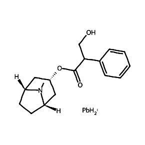 CN1[C@@H]2CC[C@H]1C[C@@H](OC(=O)C(CO)c1ccccc1)C2.[PbH2]